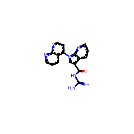 N=C(N)NC(=O)c1cn(-c2ccnc3ncccc23)c2ncccc12